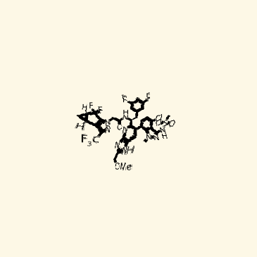 COCc1nc2nc([C@H](Cc3cc(F)cc(F)c3)NC(=O)Cn3nc(C(F)(F)F)c4c3C(F)(F)[C@@H]3C[C@H]43)c(-c3ccc(Cl)c4c(NS(C)(=O)=O)nn(C)c34)cc2[nH]1